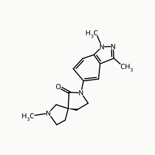 Cc1nn(C)c2ccc(N3CC[C@]4(CCN(C)C4)C3=O)cc12